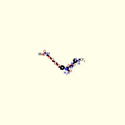 CC(C)(C)OC(=O)NCCOCCOCCOCCOCc1ccc(-n2cc(NC(=O)c3coc(-c4ccnc(NCC(F)(F)F)c4)n3)c(C(N)=O)n2)cc1